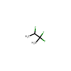 CC(F)C(F)(F)[SiH3]